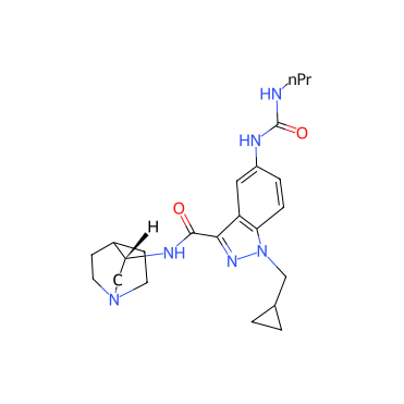 CCCNC(=O)Nc1ccc2c(c1)c(C(=O)N[C@@H]1CN3CCC1CC3)nn2CC1CC1